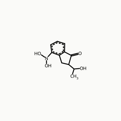 CC(O)C1Cc2c(cccc2N(O)O)C1=O